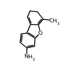 CC1=c2oc3cc(N)ccc3c2=CCC1